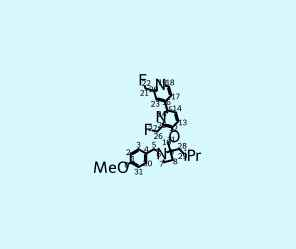 COc1ccc(CN2CCC2(COc2ccc(-c3ccnc(CF)c3)nc2CF)CC(C)C)cc1